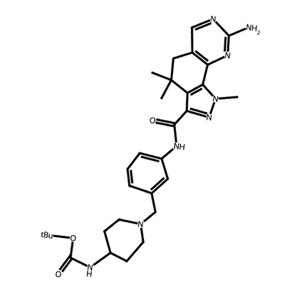 Cn1nc(C(=O)Nc2cccc(CN3CCC(NC(=O)OC(C)(C)C)CC3)c2)c2c1-c1nc(N)ncc1CC2(C)C